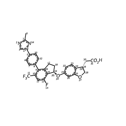 Cc1ncn(-c2ccc(-c3c(C(F)(F)F)cc(F)c4c3CC[C@H]4Oc3ccc4c(c3)OC[C@H]4CC(=O)O)cc2)n1